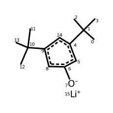 CC(C)(C)c1cc([O-])cc(C(C)(C)C)c1.[Li+]